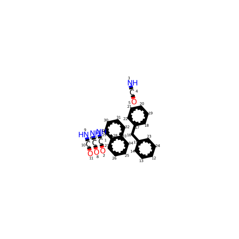 N=C=O.N=C=O.N=C=O.N=C=O.c1ccc(Cc2ccccc2)cc1.c1ccc2ccccc2c1